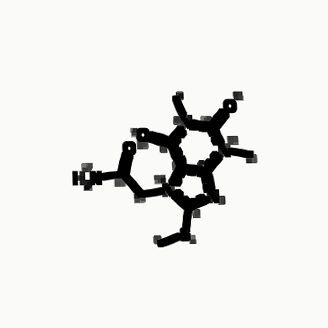 CSc1nc2c(c(=O)n(C)c(=O)n2C)n1CC(N)=O